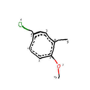 COc1[c]cc(Cl)cc1C